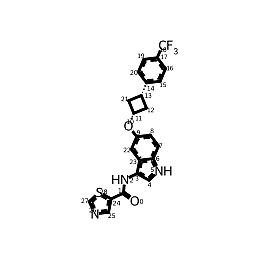 O=C(Nc1c[nH]c2ccc(O[C@H]3C[C@@H](c4ccc(C(F)(F)F)cc4)C3)cc12)c1cncs1